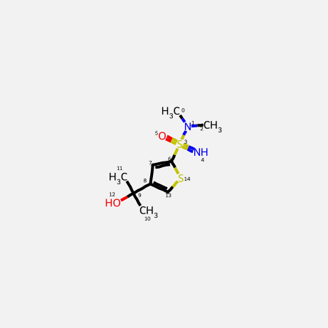 CN(C)S(=N)(=O)c1cc(C(C)(C)O)cs1